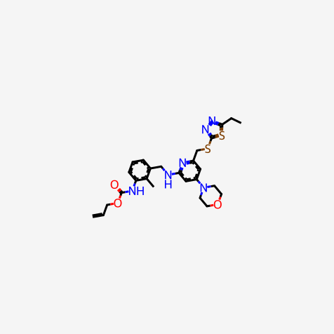 C=CCOC(=O)Nc1cccc(CNc2cc(N3CCOCC3)cc(CSc3nnc(CC)s3)n2)c1C